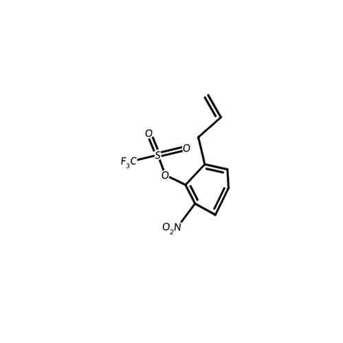 C=CCc1cccc([N+](=O)[O-])c1OS(=O)(=O)C(F)(F)F